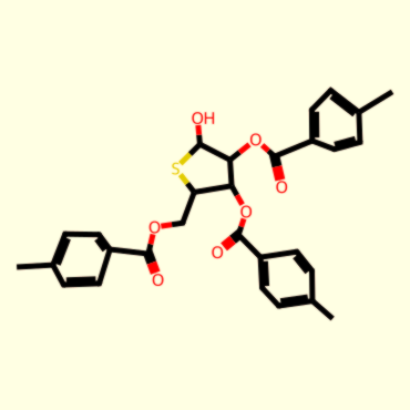 Cc1ccc(C(=O)OCC2SC(O)C(OC(=O)c3ccc(C)cc3)C2OC(=O)c2ccc(C)cc2)cc1